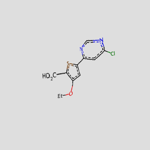 CCOc1cc(-c2cc(Cl)ncn2)sc1C(=O)O